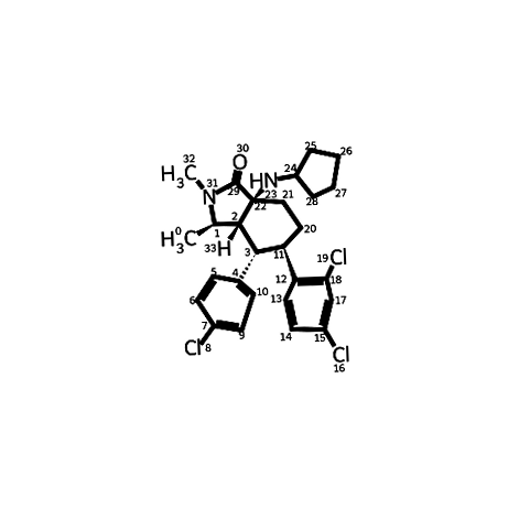 C[C@@H]1[C@H]2[C@@H](c3ccc(Cl)cc3)[C@H](c3ccc(Cl)cc3Cl)CC[C@@]2(NC2CCCC2)C(=O)N1C